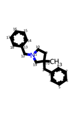 CC1(Cc2ccccc2)CCN(Cc2ccccc2)C1